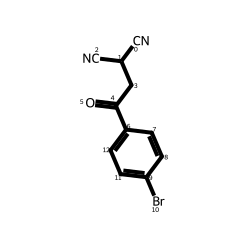 N#CC(C#N)CC(=O)c1ccc(Br)cc1